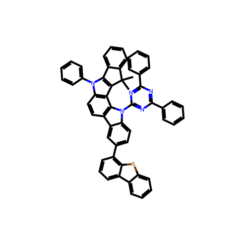 CC1(C)c2ccccc2-c2c1c1c(ccc3c4cc(-c5cccc6c5sc5ccccc56)ccc4n(-c4nc(-c5ccccc5)nc(-c5ccccc5)n4)c31)n2-c1ccccc1